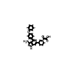 Nc1n[nH]c2cc(C3CCCN(C(=O)C(=O)O)C3)nc(-c3ccc(Oc4ccccc4)cc3)c12